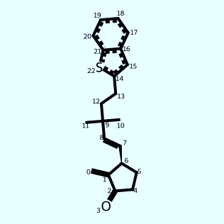 C=C1C(=O)CC[C@@H]1/C=C/C(C)(C)CCc1cc2ccccc2s1